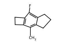 Cc1c2c(c(F)c3c1CC3)CCC2